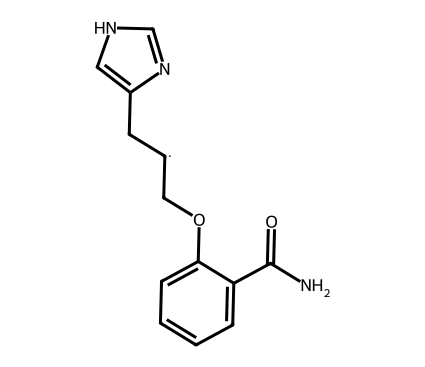 NC(=O)c1ccccc1OC[CH]Cc1c[nH]cn1